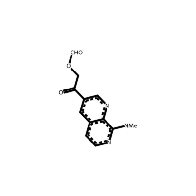 CNc1nccc2cc(C(=O)COC=O)cnc12